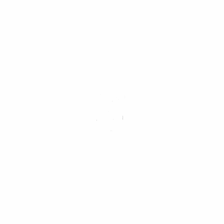 OB(O)C1CC1(F)F